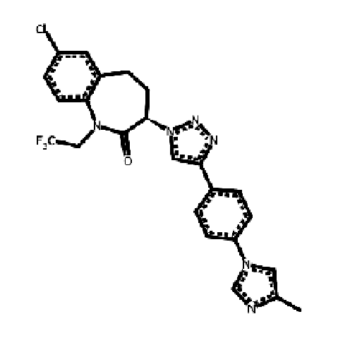 Cc1cn(-c2ccc(-c3cn([C@@H]4CCc5cc(Cl)ccc5N(CC(F)(F)F)C4=O)nn3)cc2)cn1